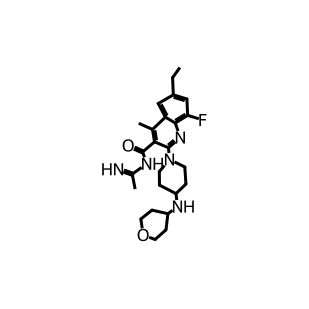 CCc1cc(F)c2nc(N3CCC(NC4CCOCC4)CC3)c(C(=O)NC(C)=N)c(C)c2c1